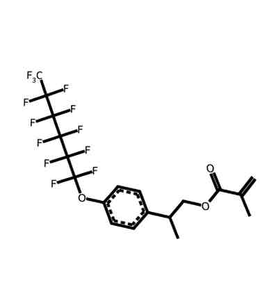 C=C(C)C(=O)OCC(C)c1ccc(OC(F)(F)C(F)(F)C(F)(F)C(F)(F)C(F)(F)C(F)(F)F)cc1